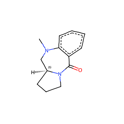 CN1C[C@@H]2CCCN2C(=O)c2ccccc21